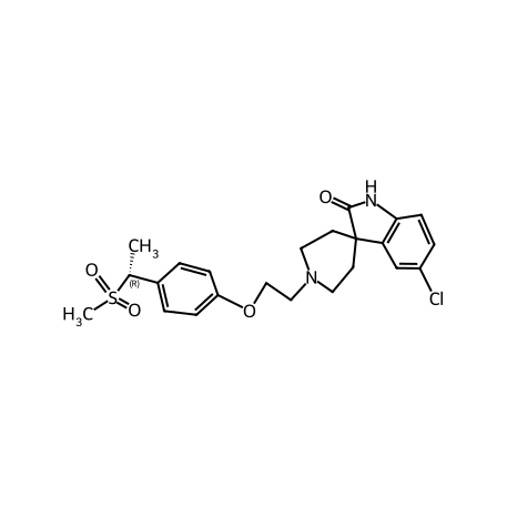 C[C@H](c1ccc(OCCN2CCC3(CC2)C(=O)Nc2ccc(Cl)cc23)cc1)S(C)(=O)=O